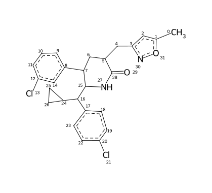 Cc1cc(CC2CC(c3cccc(Cl)c3)C(C(c3ccc(Cl)cc3)C3CC3)NC2=O)no1